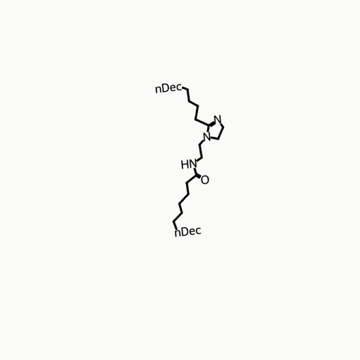 CCCCCCCCCCCCCCCC(=O)NCCN1CCN=C1CCCCCCCCCCCCCC